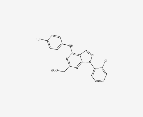 CC(C)COCc1nc(Nc2ccc(C(F)(F)F)cc2)c2cnn(-c3ccccc3Cl)c2n1